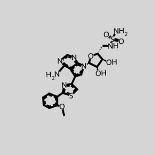 COc1ccccc1-c1nc(-c2cn([C@@H]3O[C@H](CNS(N)(=O)=O)[C@@H](O)[C@H]3O)c3ncnc(N)c23)cs1